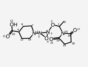 CC(On1on1N1CCC(C(=O)O)CC1)N1C(=O)CCC1=O